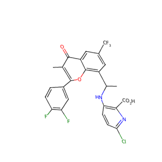 Cc1c(-c2ccc(F)c(F)c2)oc2c(C(C)Nc3ccc(Cl)nc3C(=O)O)cc(C(F)(F)F)cc2c1=O